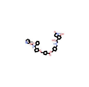 O=C(NC(c1ccccc1)c1cccc(OCc2ccc(C(=O)OCc3ccc(CNC[C@H](O)c4ccc(O)c5[nH]c(=O)ccc45)cc3)cc2)c1)O[C@H]1CN2CCC1CC2